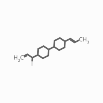 C=CC(I)C1CCC(C2CCC(C=CC)CC2)CC1